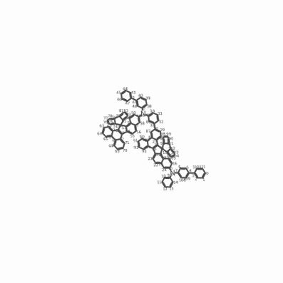 c1ccc(-c2ccc(N(c3ccccc3)c3ccc4c5c(ccc4c3)-c3c(c4ccc(-c6cccc(N(c7cccc(-c8ccccc8)c7)c7ccc8c9c(ccc8c7)-c7c(c8ccccc8c8ccccc78)C97c8ccccc8-c8ccccc87)c6)cc4c4ccccc34)C53c4ccccc4-c4ccccc43)cc2)cc1